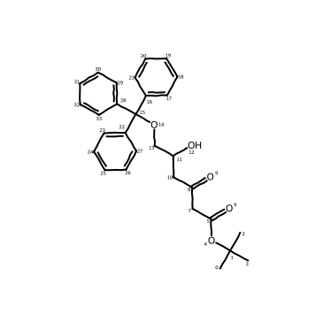 CC(C)(C)OC(=O)CC(=O)CC(O)COC(c1ccccc1)(c1ccccc1)c1ccccc1